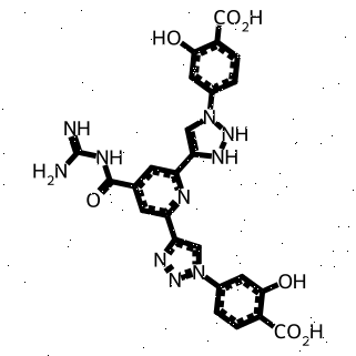 N=C(N)NC(=O)c1cc(C2=CN(c3ccc(C(=O)O)c(O)c3)NN2)nc(-c2cn(-c3ccc(C(=O)O)c(O)c3)nn2)c1